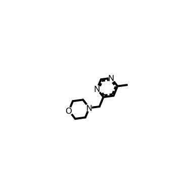 Cc1cc(CN2CCOCC2)ncn1